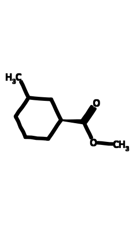 COC(=O)[C@H]1CCCC(C)C1